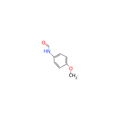 [CH2]Oc1ccc(NC=O)cc1